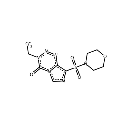 O=c1n(CC(F)(F)F)nnc2c(S(=O)(=O)N3CCOCC3)ncn12